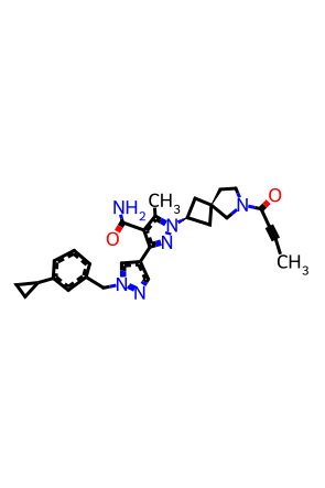 CC#CC(=O)N1CC[C@]2(C1)C[C@H](n1nc(-c3cnn(Cc4cccc(C5CC5)c4)c3)c(C(N)=O)c1C)C2